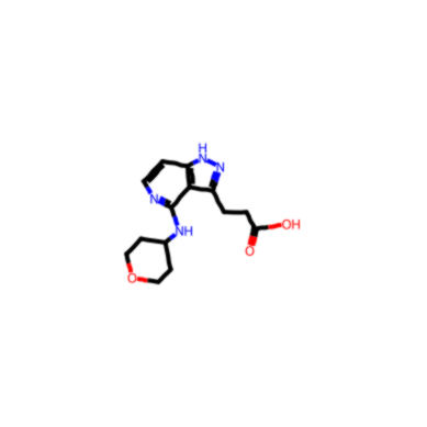 O=C(O)CCc1n[nH]c2ccnc(NC3CCOCC3)c12